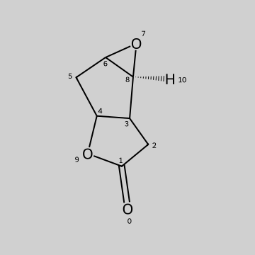 O=C1CC2C(CC3O[C@H]32)O1